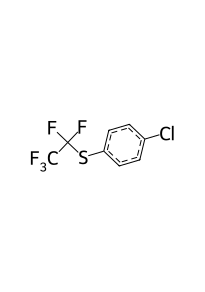 FC(F)(F)C(F)(F)Sc1ccc(Cl)cc1